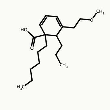 CCCCCCC1(C(=O)O)C=CC=C(CCOC)C1CCC